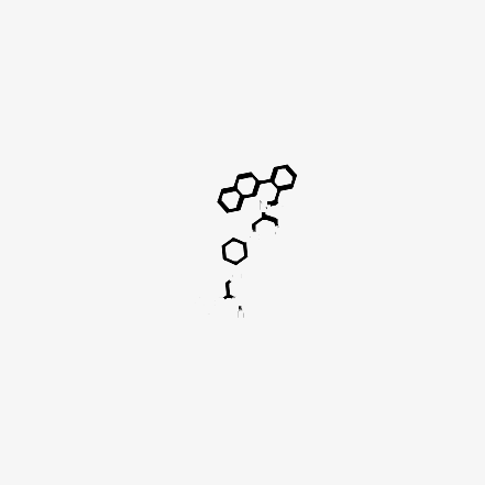 CCCOC(CO[C@@H]1CCC[C@H](OCc2nc(-c3ccccc3-c3ccc4ccccc4c3)oc2C)C1)C(=O)O